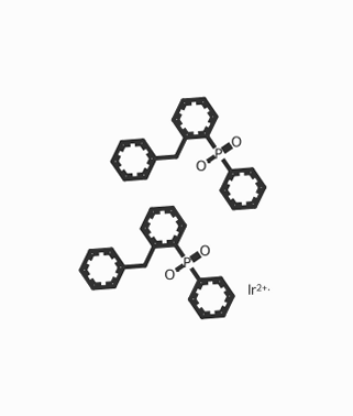 O=P([O-])(c1ccccc1)c1ccccc1Cc1ccccc1.O=P([O-])(c1ccccc1)c1ccccc1Cc1ccccc1.[Ir+2]